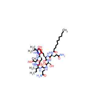 CCCCCCCCCCCC(=O)N[C@@H](CCC(N)=O)C(=O)N[C@H](CCc1c[nH]cn1)C(=O)N[C@@H](CO)C(=O)N[C@H](CCC(N)=O)C(=O)NC(C(=O)N[C@@H](C(=O)N[C@@H](CCCCN)C(=O)N[C@@H](C(=O)O)C(C)C)C(C)O)[C@@H](C)CC